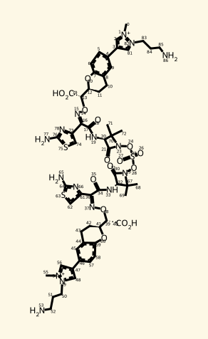 C[n+]1cc(-c2ccc3c(c2)CC[C@@H]([C@H](O/N=C(\C(=O)N[C@@H]2C(=O)N(OS(=O)(=O)ON4C(=O)[C@@H](NC(=O)/C(=N\O[C@H](C(=O)O)[C@@H]5CCc6cc(-c7cn(CCCN)[n+](C)c7)ccc6O5)c5csc(N)n5)C4(C)C)C2(C)C)c2csc(N)n2)C(=O)O)O3)cn1CCCN